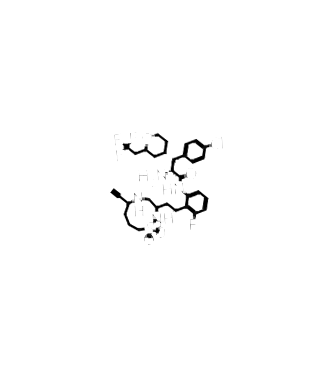 C#CC1CCCS(=O)(=O)NC(CCc2c(F)cccc2NC(=O)[C@@H](N)[C@@H](c2ccc(Cl)cc2)C2CCOC(CC(F)(F)F)C2)CN1